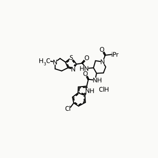 CC(C)C(=O)N1CCC(NC(=O)c2cc3cc(Cl)ccc3[nH]2)C(NC(=O)c2nc3c(s2)CN(C)CC3)C1.Cl